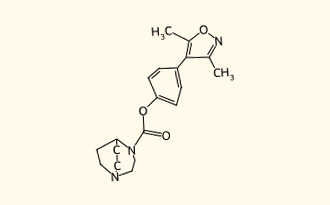 Cc1noc(C)c1-c1ccc(OC(=O)N2CCN3CCC2CC3)cc1